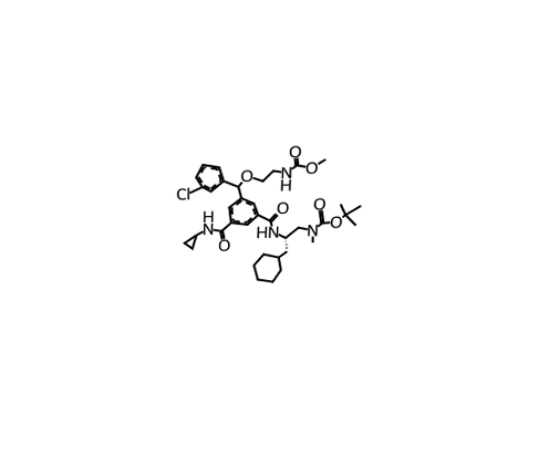 COC(=O)NCCOC(c1cccc(Cl)c1)c1cc(C(=O)NC2CC2)cc(C(=O)N[C@@H](CC2CCCCC2)CN(C)C(=O)OC(C)(C)C)c1